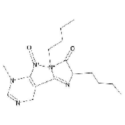 CCCCC1N=C2C3=C(N(C)C=NC3)[N+](=O)[N+]2(CCCC)C1=O